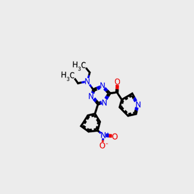 CCN(CC)c1nc(C(=O)c2cccnc2)nc(-c2cccc([N+](=O)[O-])c2)n1